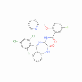 O=C(NC1N=C(c2c(Cl)cc(Cl)cc2Cl)c2ccccc2NC1=O)c1cc(F)ccc1OCc1ccccn1